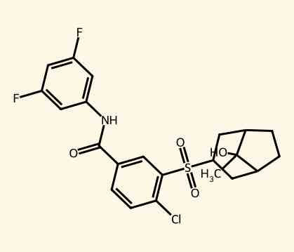 CC1(O)C2CCC1CC(S(=O)(=O)c1cc(C(=O)Nc3cc(F)cc(F)c3)ccc1Cl)C2